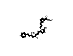 COC(=O)c1ccc(CCCN2C(=O)CCC2C=C[C@@H](O)[C@H](C)CCCCc2ccccc2)s1